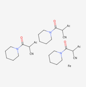 CC(=O)C(C#N)C(=O)N1CCCCC1.CC(=O)C(C#N)C(=O)N1CCCCC1.CC(=O)C(C#N)C(=O)N1CCCCC1.[Fe]